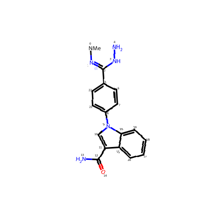 CN/N=C(\NN)c1ccc(-n2cc(C(N)=O)c3ccccc32)cc1